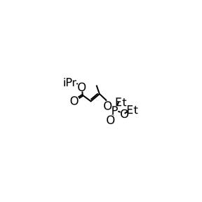 CCOP(=O)(CC)OCC(C)=CC(=O)OC(C)C